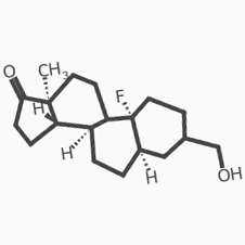 C[C@]12CCC3[C@@H](CC[C@@H]4CC(CO)CC[C@]34F)[C@@H]1CCC2=O